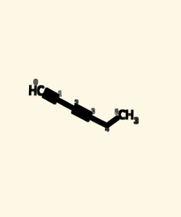 C#CC#CCC